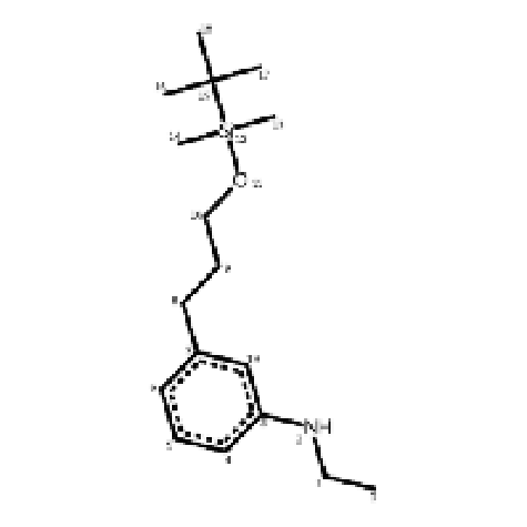 CCNc1cccc(CCCO[Si](C)(C)C(C)(C)C)c1